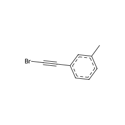 Cc1cccc(C#CBr)c1